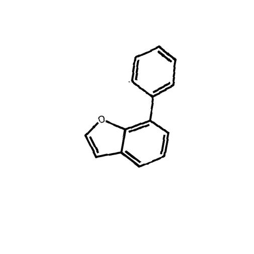 [c]1ccccc1-c1cccc2ccoc12